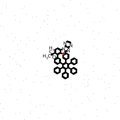 CC(C)(C)c1ccc2c(sc3nc4nccnc4n32)c1-c1cccc(-c2c(-c3ccccc3)c(-c3ccccc3)c(-c3ccccc3)c(-c3ccccc3)c2-c2ccccc2)c1